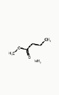 CCCC(=O)OC.[InH3]